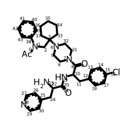 CC(=O)N(CC1(N2CCN(C(=O)C(Cc3ccc(Cl)cc3)NC(=O)C(N)Cc3ccncc3)CC2)CCCCC1)c1ccccc1